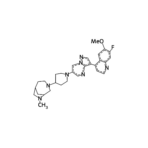 COc1cc2c(-c3cnn4cc(N5CCC(N6CCC7CC(C6)N(C)C7)CC5)cnc34)ccnc2cc1F